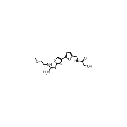 COCCNC(N)=Nc1nc(-c2ccc(CNC(=O)CO)o2)cs1